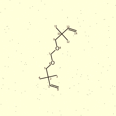 C=CC(C)(C)COCOCC(C)(C)C=C